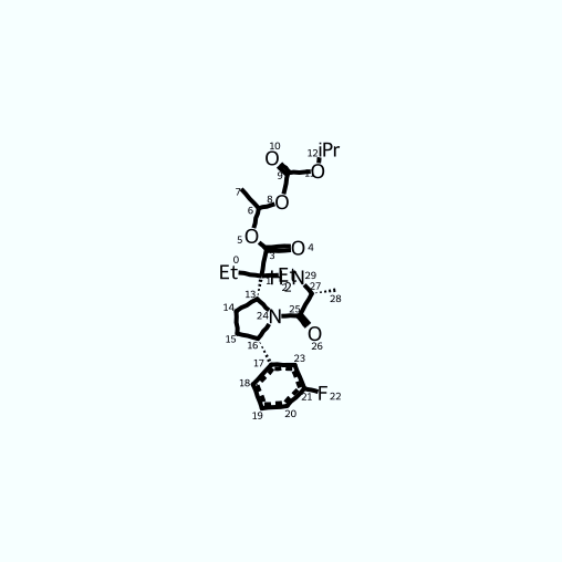 CCC(CC)(C(=O)OC(C)OC(=O)OC(C)C)[C@H]1CC[C@@H](c2cccc(F)c2)N1C(=O)[C@@H](C)N